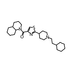 O=C(c1csc(C2CCN(CCC3CCCCC3)CC2)n1)N1CCCC2CCCCC21